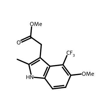 COC(=O)Cc1c(C)[nH]c2ccc(OC)c(C(F)(F)F)c12